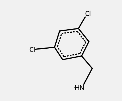 [NH]Cc1cc(Cl)cc(Cl)c1